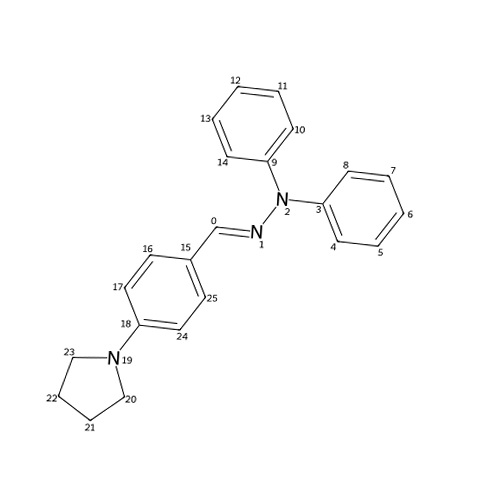 C(=NN(c1ccccc1)c1ccccc1)c1ccc(N2CCCC2)cc1